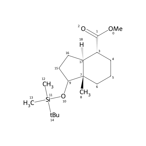 COC(=O)[C@@H]1CCC[C@]2(C)C(O[Si](C)(C)C(C)(C)C)CC[C@@H]12